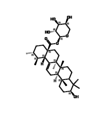 C[C@H]1[C@H](C)CC[C@]2(C(=O)O[C@@H]3OC[C@H](O)[C@H](O)[C@H]3O)CC[C@]3(C)C(=CC[C@@H]4[C@@]5(C)CC[C@H](O)C(C)(C)C5CC[C@]43C)[C@H]12